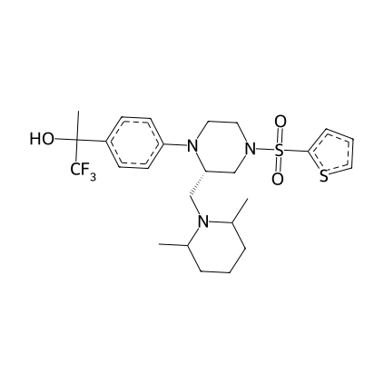 CC1CCCC(C)N1C[C@H]1CN(S(=O)(=O)c2cccs2)CCN1c1ccc(C(C)(O)C(F)(F)F)cc1